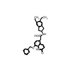 CCc1cc2c(cc1CC)CC(N[C@H](O)Cc1ccc(OCc3ccccc3)c3[nH]c(=O)ccc13)C2